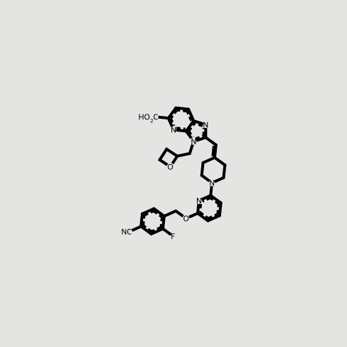 N#Cc1ccc(COc2cccc(N3CCC(=Cc4nc5ccc(C(=O)O)nc5n4CC4CCO4)CC3)n2)c(F)c1